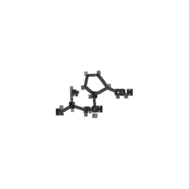 CCN(C(C)C)C(C)C.O=C(O)C1CCCN1O